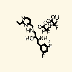 CCc1nccc(CNC[C@@H](O)[C@@H](N)Cc2cc(F)cc(F)c2)n1.O=C(O)C(F)(F)F.O=C(O)C(F)(F)F